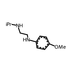 COc1ccc(NCCNC(C)C)cc1